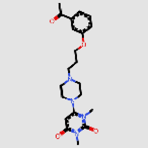 CC(=O)c1cccc(OCCCN2CCN(c3cc(=O)n(C)c(=O)n3C)CC2)c1